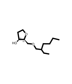 CCCCC(CC)COC[C@@H]1OCC[C@@H]1O